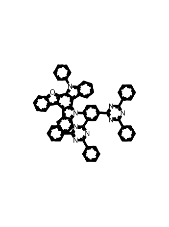 c1ccc(-c2nc(-c3ccccc3)nc(-c3ccc(-n4c5ccccc5c5c6c7ccccc7oc6c6c(c7ccccc7n6-c6ccccc6)c54)c(-c4nc(-c5ccccc5)nc(-c5ccccc5)n4)c3)n2)cc1